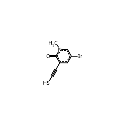 Cn1cc(Br)cc(C#CS)c1=O